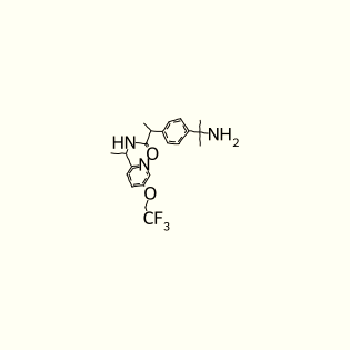 CC(NC(=O)C(C)c1ccc(C(C)(C)N)cc1)c1ccc(OCC(F)(F)F)cn1